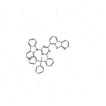 CC(c1ccccc1)(c1ccccc1)c1ccccc1-c1nc(-c2cccc3c2oc2ncccc23)nc(-n2c3ccccc3c3ccccc32)n1